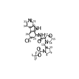 CC(C)(C)OC(=O)N1CCC[C@@H]1CN1CCOCC1C(=O)Nc1cc(Cl)cc2c1[nH]c1cnccc12